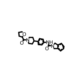 O=C(Nc1ccc(C2CCN(C(=O)C3CCCO3)CC2)cc1)N1Cc2ccccc2C1